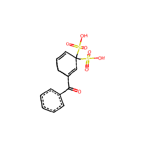 O=C(C1=CC(S(=O)(=O)O)(S(=O)(=O)O)C=CC1)c1ccccc1